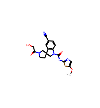 COc1cnc(NC(=O)N2CC3(CCN(C(=O)CO)C3)c3cc(C#N)ccc32)s1